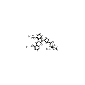 COc1ccccc1Cn1c(=O)n([C@@H]2CCN(C(=O)OC(C)(C)C)C2)c2cccc(OC)c21